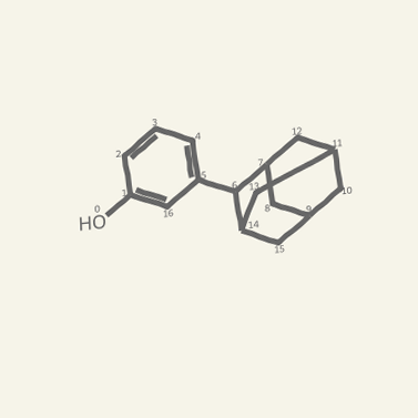 Oc1cccc(C2C3CC4CC(C3)CC2C4)c1